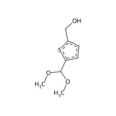 COC(OC)c1ccc(CO)s1